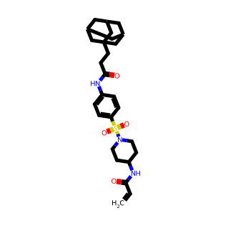 C=CC(=O)NC1CCN(S(=O)(=O)c2ccc(NC(=O)CCC34CC5CC(CC(C5)C3)C4)cc2)CC1